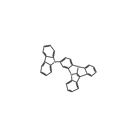 c1ccc2c(c1)c1ccccc1n2-c1ccc2c(c1)n1c3ccccc3c3c4ccccc4n2c31